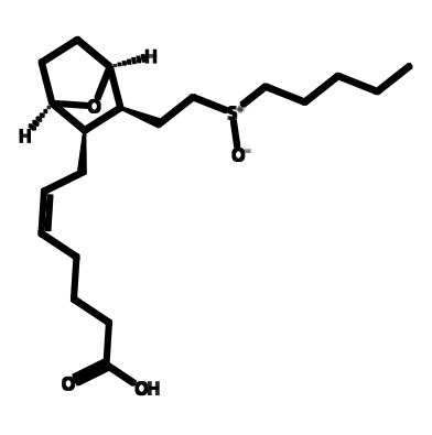 CCCCC[S+]([O-])CC[C@H]1[C@@H](C/C=C\CCCC(=O)O)[C@H]2CC[C@@H]1O2